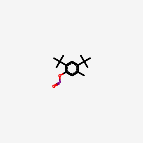 Cc1cc(OP=O)c(C(C)(C)C)cc1C(C)(C)C